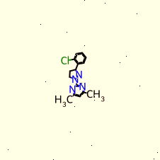 Cc1cc(C)nc(N2CCC(c3ccccc3Cl)=N2)n1